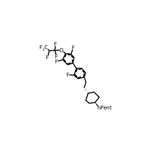 CCCCC[C@H]1CC[C@H](CCc2ccc(-c3cc(F)c(OC(F)(F)C(F)C(F)(F)F)c(F)c3)c(F)c2)CC1